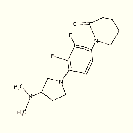 CN(C)C1CCN(c2ccc(N3CCCCC3=O)c(F)c2F)C1